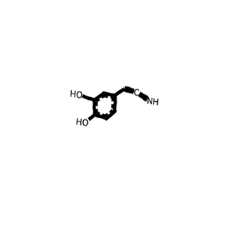 N=C=Cc1ccc(O)c(O)c1